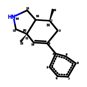 C[C@H]1CC(c2ccccc2)=C[C@@]2(C)CNCC12